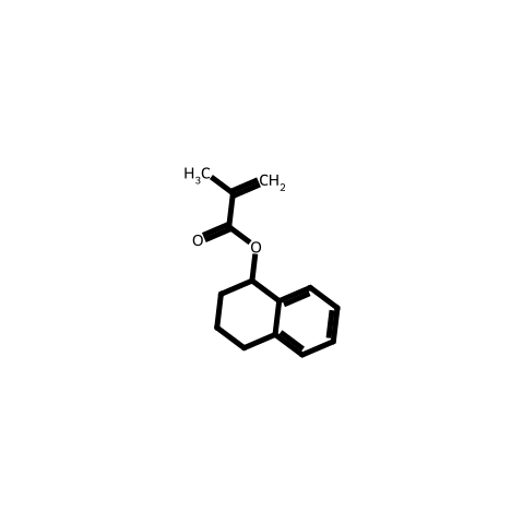 C=C(C)C(=O)OC1CCCc2ccccc21